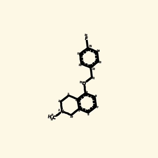 CN1CCc2c(cccc2OCc2ccc(F)cc2)C1